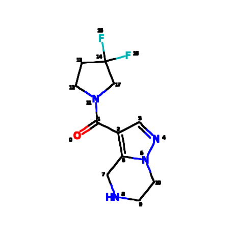 O=C(c1cnn2c1CNCC2)N1CCC(F)(F)C1